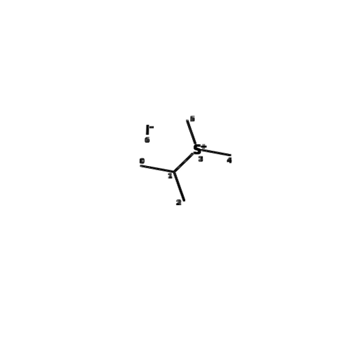 CC(C)[S+](C)C.[I-]